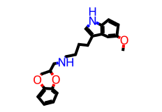 COc1ccc2[nH]cc(CCCCNCC3COc4ccccc4O3)c2c1